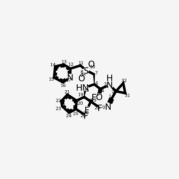 N#CC1(NC(=O)[C@H](CS(=O)(=O)Cc2ccccn2)N[C@H](c2ccccc2F)C(F)(F)F)CC1